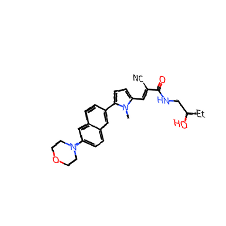 CCC(O)CNC(=O)/C(C#N)=C/c1ccc(-c2ccc3cc(N4CCOCC4)ccc3c2)n1C